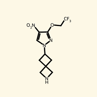 O=[N+]([O-])c1cn(C2CC3(CNC3)C2)nc1OCC(F)(F)F